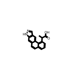 CC(C(=O)O)c1cccc2ccc3cc4[nH]ncc4cc3c12